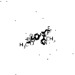 CCC(=O)NS(=O)(=O)c1ccc(-n2cc(CC(F)(F)F)nc2-c2cccnc2C)cc1